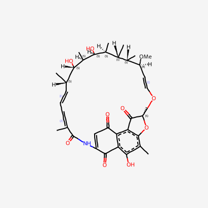 CO[C@H]1/C=C/O[C@@]2(C)Oc3c(C)c(O)c4c(c3C2=O)C(=O)C=C(NC(=O)/C(C)=C\C=C\[C@H](C)[C@H](O)[C@@H](C)[C@@H](O)[C@@H](C)[C@H](C)[C@@H]1C)C4=O